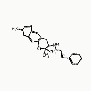 C=C1C=Cc2cc3c(cc2C1)OC(C)(C)C(NC/C=C/C1=CCCC=C1)C3